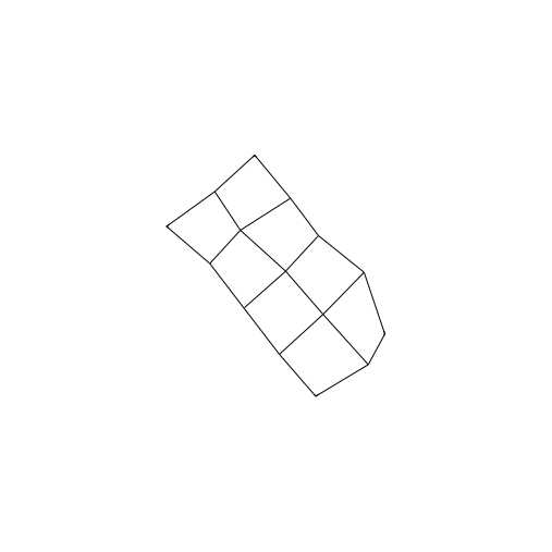 CC12C3C4CC5CC(C6CC7CC3C761)C542